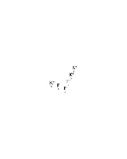 [F-].[F-].[F-].[K+].[K+].[K+]